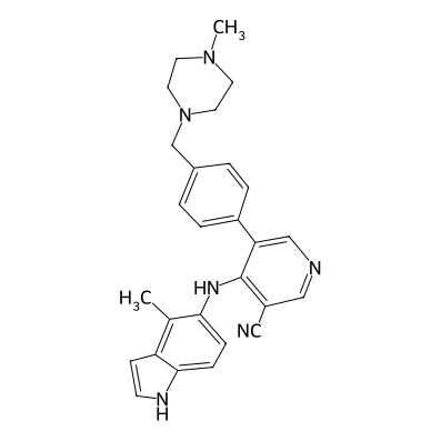 Cc1c(Nc2c(C#N)cncc2-c2ccc(CN3CCN(C)CC3)cc2)ccc2[nH]ccc12